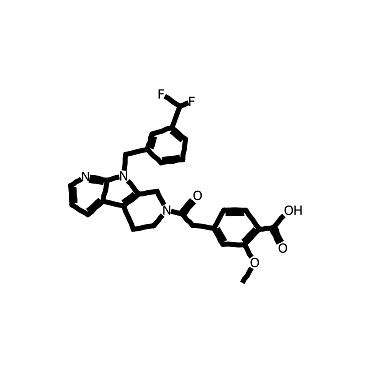 COc1cc(CC(=O)N2CCc3c(n(Cc4cccc(C(F)F)c4)c4ncccc34)C2)ccc1C(=O)O